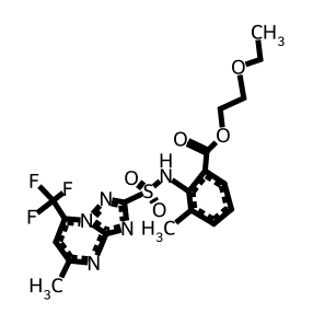 CCOCCOC(=O)c1cccc(C)c1NS(=O)(=O)c1nc2nc(C)cc(C(F)(F)F)n2n1